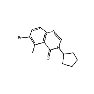 Cc1c(Br)ccc2ncn(C3CCCC3)c(=O)c12